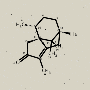 CC1=C2C[C@H]3CC[C@@H](C)[C@]2(CC1=O)C3(C)C